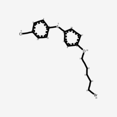 Clc1ccc(Sc2ccc(OCCCCCBr)cc2)cc1